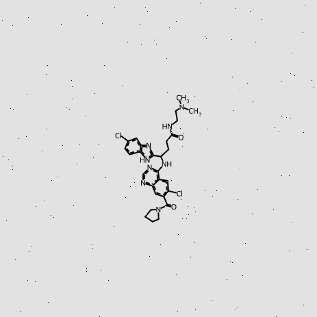 CN(C)CCNC(=O)CCC(Nc1ncnc2cc(C(=O)N3CCCC3)c(Cl)cc12)c1nc2cc(Cl)ccc2[nH]1